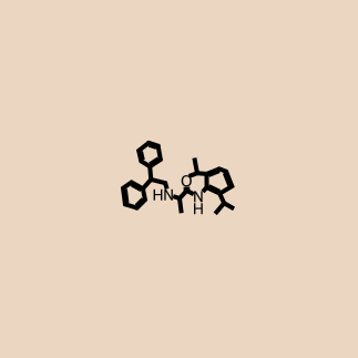 CC(NCC(c1ccccc1)c1ccccc1)C(=O)Nc1c(C(C)C)cccc1C(C)C